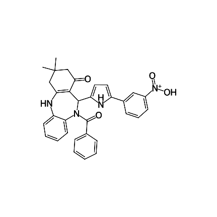 CC1(C)CC(=O)C2=C(C1)Nc1ccccc1N(C(=O)c1ccccc1)C2c1ccc(-c2cccc([N+](=O)O)c2)[nH]1